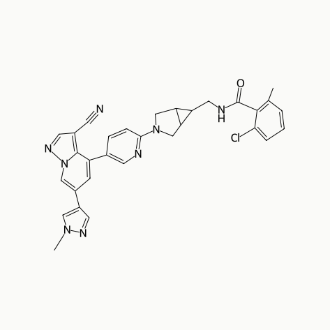 Cc1cccc(Cl)c1C(=O)NCC1C2CN(c3ccc(-c4cc(-c5cnn(C)c5)cn5ncc(C#N)c45)cn3)CC12